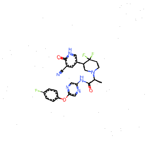 CC(C(=O)Nc1cnc(Oc2ccc(F)cc2)cn1)N1CCC(F)(F)C(c2c[nH]c(=O)c(C#N)c2)C1